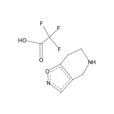 O=C(O)C(F)(F)F.c1noc2c1CNCC2